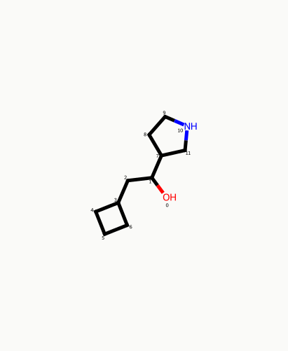 OC(CC1CCC1)C1CCNC1